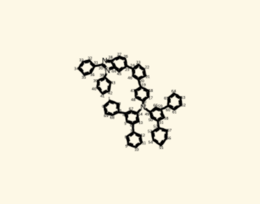 c1ccc(-c2cc(-c3ccccc3)cc(N(c3ccc(-c4cccc(-c5ccc6nc(-c7ccccc7)n(-c7ccccc7)c6c5)c4)cc3)c3cc(-c4ccccc4)cc(-c4ccccc4)c3)c2)cc1